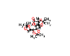 CC1(C)O[C@H]([C@H]2OC(=O)[C@@H]3OC(C)(C)O[C@H]23)[C@H]([C@H]2COC(C)(C)O2)O1